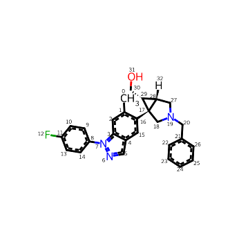 Cc1cc2c(cnn2-c2ccc(F)cc2)cc1[C@]12CN(Cc3ccccc3)C[C@H]1[C@H]2CO